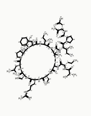 CCC[C@H](NC(=O)[C@H](C)N)C(=O)NC1SSC(C)(C)[C@@H](C(=O)N[C@H](C(=O)N2CCC[C@H]2C(=O)N[C@@H](CC(=O)O)C(N)=O)[C@@H](C)CC)NC(=O)C([C@@H](C)CC)NC(=O)[C@@H]2C[C@@H]3CCCC[C@@H]3N2C(=O)[C@@H]2CCCN2C(=O)[C@H](CC(C)C)NC(=O)[C@H](CO)NC(=O)[C@H](CCCNC(=N)N)NC(=O)[C@H](CO)NC1=O